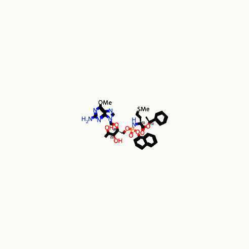 COc1nc(N)nc2c1ncn2CO[C@H](COP(=O)(N[C@@H](CCSC)C(=O)O[C@@H](C)c1ccccc1)Oc1cccc2ccccc12)[C@@H](O)C(C)O